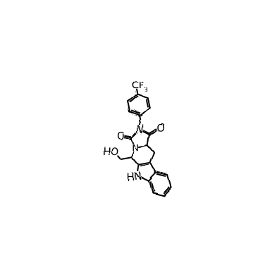 O=C1C2Cc3c([nH]c4ccccc34)C(CO)N2C(=O)N1c1ccc(C(F)(F)F)cc1